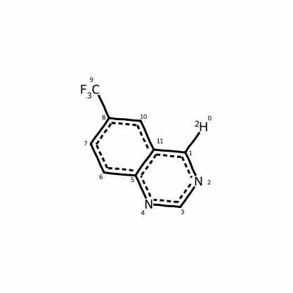 [2H]c1ncnc2ccc(C(F)(F)F)cc12